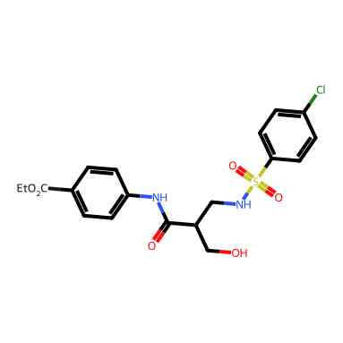 CCOC(=O)c1ccc(NC(=O)C(CO)CNS(=O)(=O)c2ccc(Cl)cc2)cc1